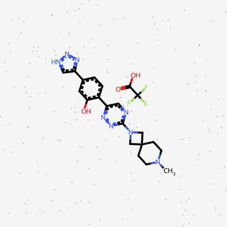 CN1CCC2(CC1)CN(c1ncc(-c3ccc(-c4c[nH]nn4)cc3O)nn1)C2.O=C(O)C(F)(F)F